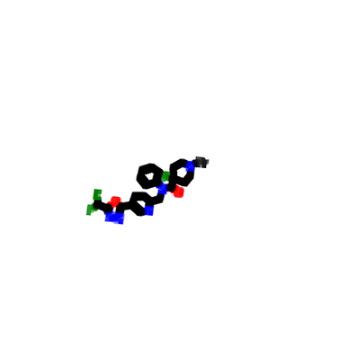 CC(C)N1CCC(F)(C(=O)N(Cc2ccc(-c3nnc(C(F)F)o3)cn2)c2ccccc2)CC1